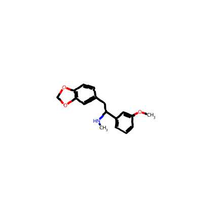 CNC(Cc1ccc2c(c1)OCO2)c1cccc(OC)c1